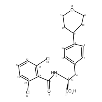 O=C(N[C@@H](Cc1ccc(C2CCOCC2)cc1)C(=O)O)c1c(Cl)cccc1Cl